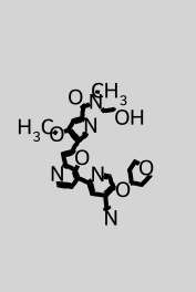 COc1cc(C(=O)N(C)CCO)ncc1-c1cc2nccc(-c3cc(C#N)c(OC4CCOCC4)cn3)c2o1